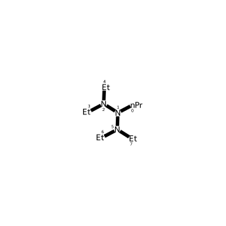 CCCN(N(CC)CC)N(CC)CC